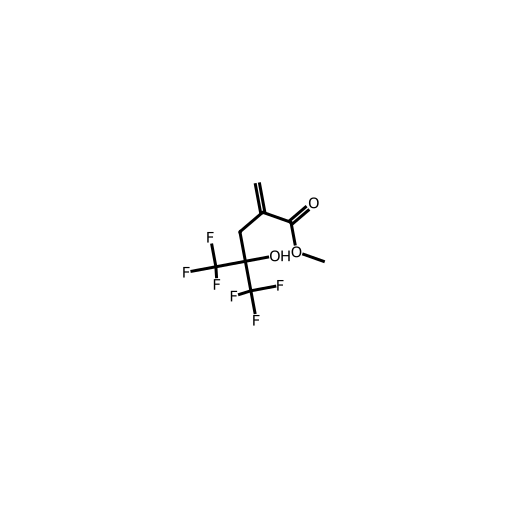 C=C(CC(O)(C(F)(F)F)C(F)(F)F)C(=O)OC